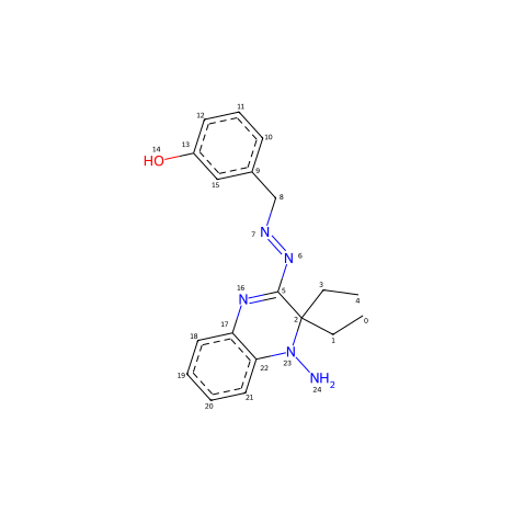 CCC1(CC)C(N=NCc2cccc(O)c2)=Nc2ccccc2N1N